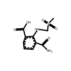 CS(=O)(=O)CNc1c(C(N)=O)cccc1C(=O)O